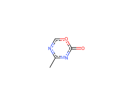 Cc1ncoc(=O)n1